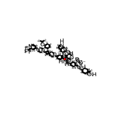 CC(C)Oc1ccccc1[C@H]1CN(c2ccnc(C(F)(F)F)c2)CCN1C1CC2(CCN(c3ccc(C(=O)NS(=O)(=O)c4ccc(NCC5CCC(C)(O)CC5)c([N+](=O)[O-])c4)c(N4c5cc6cc[nH]c6nc5O[C@H]5COCC[C@@H]54)c3)CC2)C1